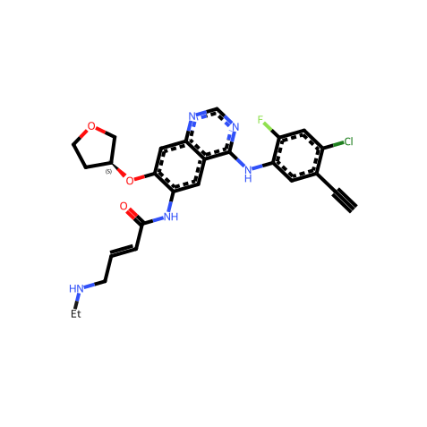 C#Cc1cc(Nc2ncnc3cc(O[C@H]4CCOC4)c(NC(=O)C=CCNCC)cc23)c(F)cc1Cl